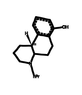 CCCN1CCC[C@H]2c3cccc(O)c3CCC21